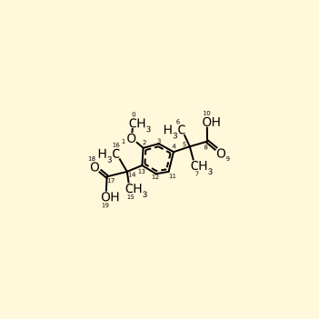 COc1cc(C(C)(C)C(=O)O)ccc1C(C)(C)C(=O)O